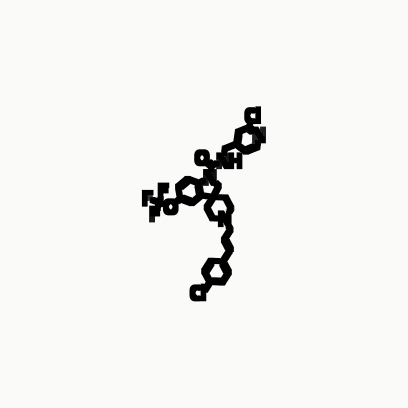 O=C(NCc1ccnc(Cl)c1)N1CC2(CCN(CC=Cc3ccc(Cl)cc3)CC2)c2cc(OC(F)(F)F)ccc21